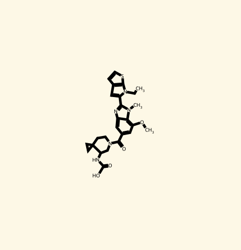 CCn1c(-c2nc3cc(C(=O)N4CCC5(CC5)C(NC(=O)O)C4)cc(OC)c3n2C)cc2ccsc21